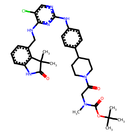 CN(CC(=O)N1CCC(c2ccc(Nc3ncc(Cl)c(NCc4cccc5c4C(C)(C)C(=O)N5)n3)cc2)CC1)C(=O)OC(C)(C)C